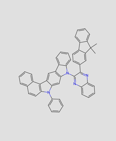 CC1(C)c2ccccc2-c2ccc(-c3nc4ccccc4nc3-n3c4ccccc4c4cc5c6c7ccccc7ccc6n(-c6ccccc6)c5cc43)cc21